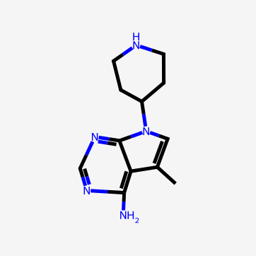 Cc1cn(C2CCNCC2)c2ncnc(N)c12